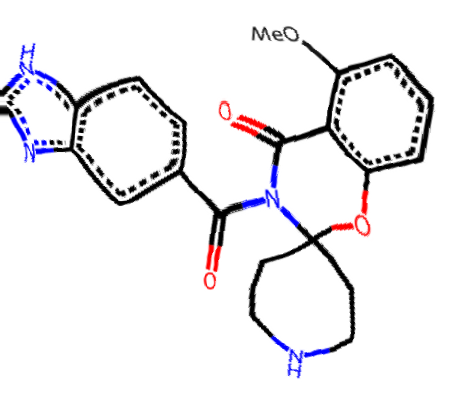 COc1cccc2c1C(=O)N(C(=O)c1ccc3[nH]cnc3c1)C1(CCNCC1)O2